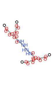 O=C(CCC(=O)OC(COC(=O)CCCC(=O)OCc1ccccc1)COC(=O)CCCC(=O)OCc1ccccc1)NCCCNCCCCNCCCNC(=O)CCC(=O)OC(COC(=O)CCCC(=O)OCc1ccccc1)COC(=O)CCCC(=O)OCc1ccccc1